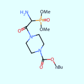 CCCCOC(=O)N1CCN(C(=O)C(N)P(=O)(OC)OC)CC1